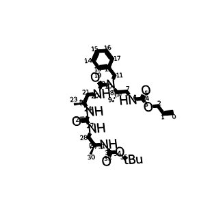 C=CCOC(=O)NC[C@H](C)N(Cc1ccccc1)C(=O)NC[C@H](C)NC(=O)NC[C@H](C)NC(=O)OC(C)(C)C